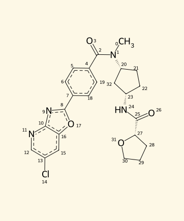 CN(C(=O)c1ccc(-c2nc3ncc(Cl)cc3o2)cc1)[C@@H]1CC[C@H](NC(=O)[C@@H]2CCCO2)C1